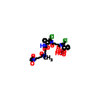 CN(CCCOC(=O)Nc1cc2c(c3ccccc13)[C@H](CCl)CN2C(=O)CCCC(=O)N1C[C@@H](CCl)c2c1cc(OP(=O)(O)O)c1ccccc21)C(=O)CCCCCN1C(=O)C=CC1=O